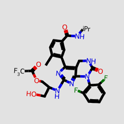 Cc1ccc(C(=O)NC(C)C)cc1-c1nc(NC(CO)COC(=O)C(F)(F)F)nc2c1CNC(=O)N2c1c(F)cccc1F